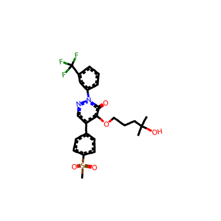 CC(C)(O)CCCOc1c(-c2ccc(S(C)(=O)=O)cc2)cnn(-c2cccc(C(F)(F)F)c2)c1=O